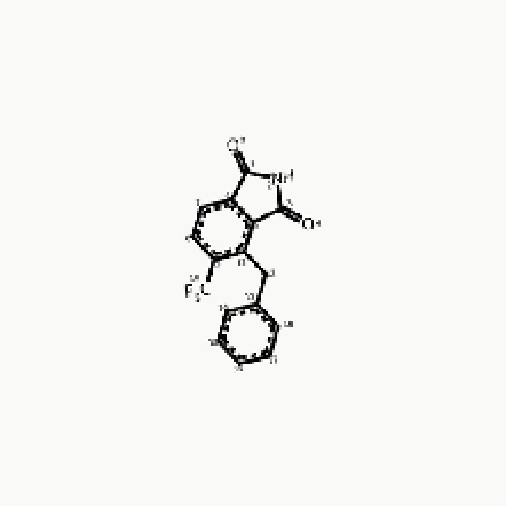 O=C1NC(=O)c2c1ccc(C(F)(F)F)c2Cc1ccccc1